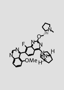 COc1cccc2ncnc(-c3ccc4c(N5C[C@H]6CC[C@@H](C5)N6)nc(OC[C@@H]5CCCN5C)nc4c3F)c12